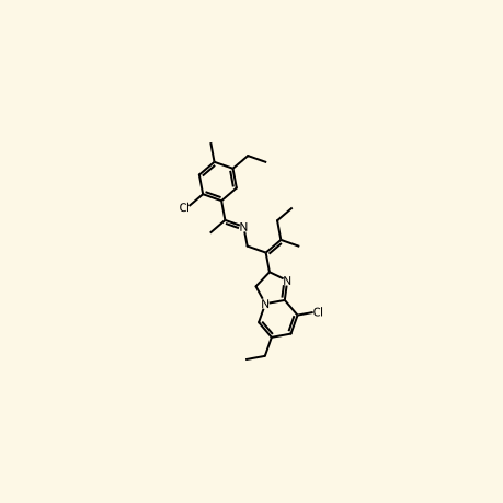 CCC1=CN2CC(/C(C/N=C(\C)c3cc(CC)c(C)cc3Cl)=C(\C)CC)N=C2C(Cl)=C1